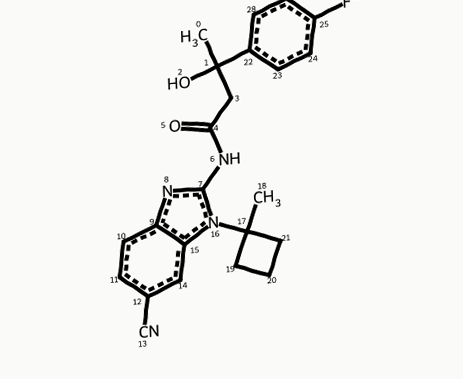 CC(O)(CC(=O)Nc1nc2ccc(C#N)cc2n1C1(C)CCC1)c1ccc(F)cc1